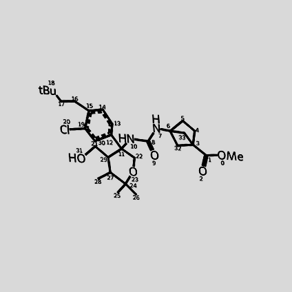 COC(=O)C12CCC(NC(=O)NC3(c4ccc(CCC(C)(C)C)c(Cl)c4)COC(C)(C)C(C)C3CO)(C1)C2